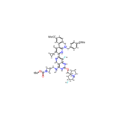 COc1ccc(CN(Cc2ccc(OC)cc2)c2cc(C)c(C3CC3)c(-c3ncc4c(N(C)CC5CN(C(=O)OC(C)(C)C)C5)nc(OC[C@@]56CCCN5C[C@H](F)C6)nc4c3F)n2)cc1